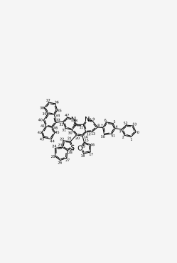 c1ccc(-c2ccc(-c3cnc4c(c3)c(-c3ccco3)c(-c3cc5ccccc5s3)c3cc(-c5c6ccccc6cc6ccccc56)cnc34)cc2)cc1